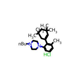 CCCCN1CCN(c2cccc(C)c2C2=CC(C)(C)CC(C)(C)C2)CC1.Cl